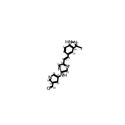 Cc1n[nH]c2ccc(/C=C/c3cnc(Nc4cncc(C=O)c4)cn3)cc12